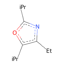 CCc1nc(C(C)C)oc1C(C)C